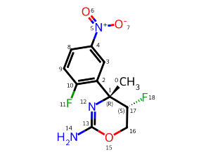 C[C@]1(c2cc([N+](=O)[O-])ccc2F)N=C(N)OC[C@H]1F